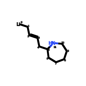 [Li][CH2]C=CCC1CCCCCN1